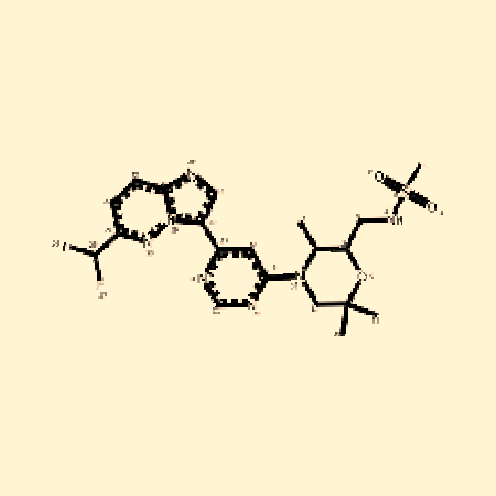 CC1C(CNS(C)(=O)=O)OC(C)(C)CN1c1cc(-c2cnc3ccc(C(F)F)nn23)ncn1